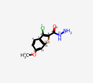 COc1ccc2c(Cl)c(C(=O)NN)sc2c1